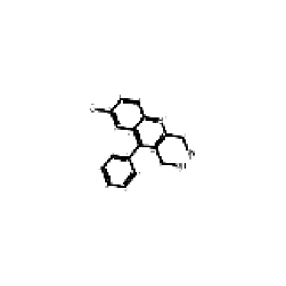 CC(C)Cc1nc2ccc(Cl)cc2c(-c2ccccc2)c1CO